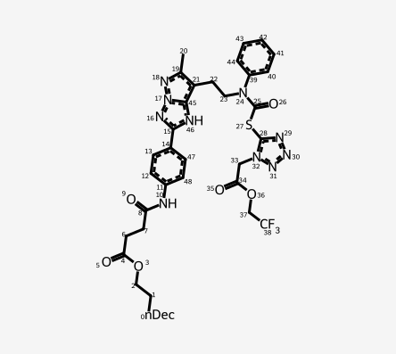 CCCCCCCCCCCCOC(=O)CCC(=O)Nc1ccc(-c2nn3nc(C)c(CCN(C(=O)Sc4nnnn4CC(=O)OCC(F)(F)F)c4ccccc4)c3[nH]2)cc1